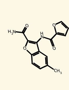 Cc1ccc2oc(C(N)=O)c(NC(=O)c3ccco3)c2c1